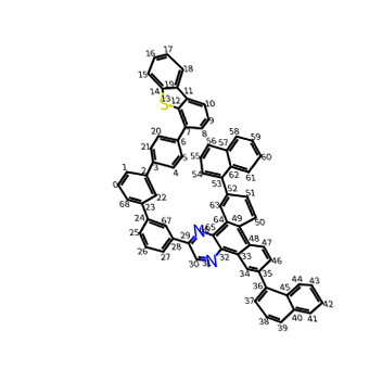 c1cc(-c2ccc(-c3cccc4c3sc3ccccc34)cc2)cc(-c2cccc(-c3cnc4c5cc(-c6cccc7ccccc67)ccc5c5ccc(-c6cccc7ccccc67)cc5c4n3)c2)c1